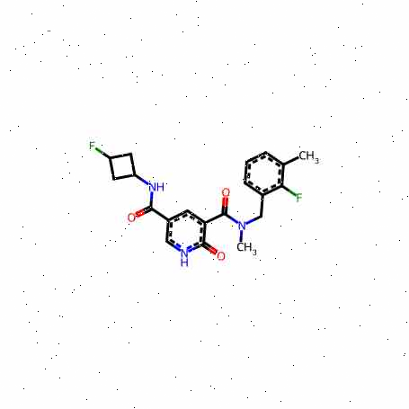 Cc1cccc(CN(C)C(=O)c2cc(C(=O)NC3CC(F)C3)c[nH]c2=O)c1F